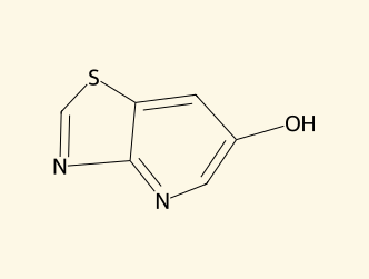 Oc1cnc2ncsc2c1